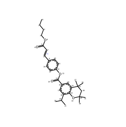 CCCCOC(=O)/C=C/c1ccc(OC(=O)c2cc(C(C)C)c3c(c2)C(C)(C)CC(C)(C)O3)cc1